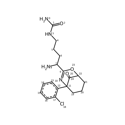 NC(=O)NCCCC(N)C1=NC2(c3ccccc3Cl)CCCC(O1)C2=O